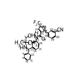 CC(C)(CO)NC(c1ccccc1)c1cccc(NC(=O)c2cc(C(F)(F)F)nn2-c2cccc(C#N)c2)c1